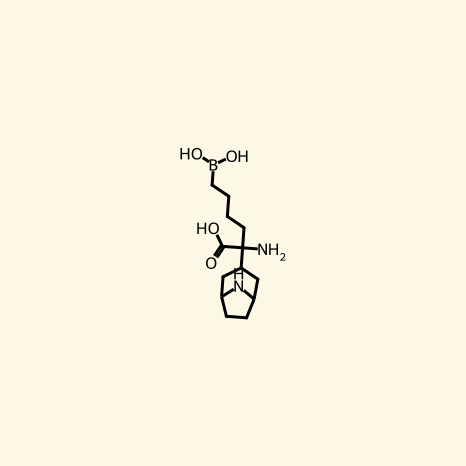 NC(CCCCB(O)O)(C(=O)O)C1CC2CCC(C1)N2